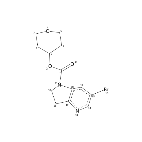 O=C(OC1CCOCC1)N1CCc2ncc(Br)cc21